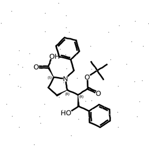 CC(C)(C)OC(=O)[C@@H](C(O)c1ccccc1)[C@H]1CC[C@@H](C(=O)O)N1Cc1ccccc1